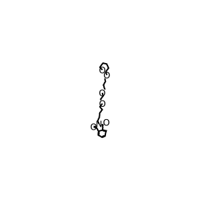 O=C1c2ccccc2C(=O)N1CCCCCOCCOCCCCOC1CCCCO1